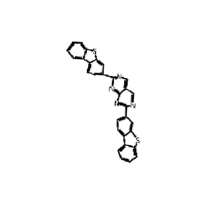 c1ccc2c(c1)sc1cc(-c3ncc4cnc(-c5ccc6c(c5)sc5ccccc56)nc4n3)ccc12